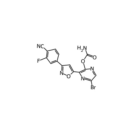 N#Cc1ccc(-c2cc(-c3nc(Br)cnc3OC(N)=O)on2)cc1F